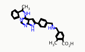 Cc1cc(CNCc2ccc(-c3cc4c(NC(C)c5ccccc5)ncnc4[nH]3)cc2)ccc1C(=O)O